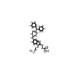 CCCn1c(CCC(=O)O)nc2cc(CN3CCN(C(c4ccccc4)c4ccccc4)CC3)ccc21